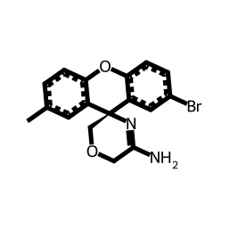 Cc1ccc2c(c1)[C@]1(COCC(N)=N1)c1cc(Br)ccc1O2